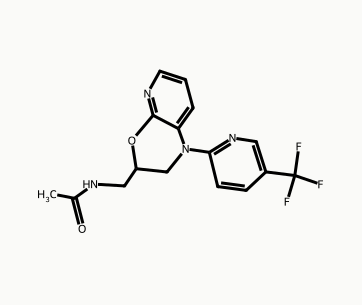 CC(=O)NCC1CN(c2ccc(C(F)(F)F)cn2)c2cccnc2O1